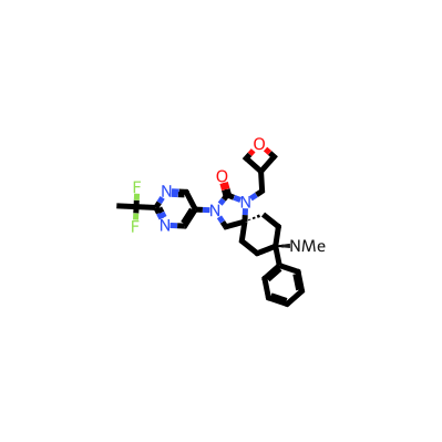 CN[C@]1(c2ccccc2)CC[C@]2(CC1)CN(c1cnc(C(C)(F)F)nc1)C(=O)N2CC1COC1